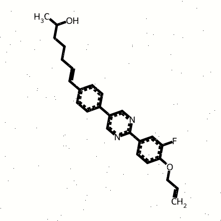 C=CCOc1ccc(-c2ncc(-c3ccc(C=CCCCC(C)O)cc3)cn2)cc1F